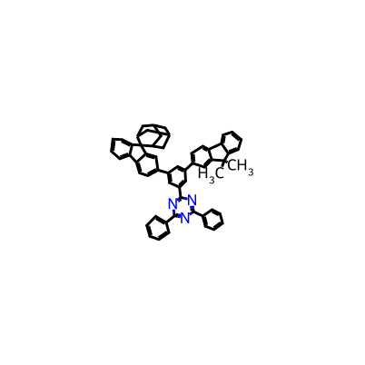 CC1(C)c2ccccc2-c2ccc(-c3cc(-c4ccc5c(c4)C4(c6ccccc6-5)C5CC6CC(C5)CC4C6)cc(-c4nc(-c5ccccc5)nc(-c5ccccc5)n4)c3)cc21